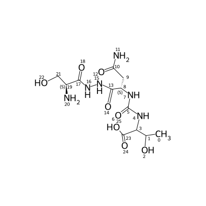 CC(O)C(NC(=O)N[C@@H](CC(N)=O)C(=O)NNC(=O)[C@@H](N)CO)C(=O)O